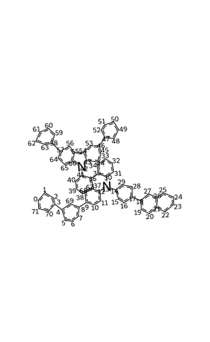 c1ccc(-c2cccc(-c3ccc(N(c4ccc(-c5ccc6ccccc6c5)cc4)c4ccccc4-c4ccccc4-n4c5ccc(-c6ccccc6)cc5c5cc(-c6ccccc6)ccc54)cc3)c2)cc1